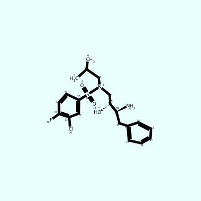 CC(C)CN(C[C@@H](O)[C@@H](N)Cc1ccccc1)S(=O)(=O)c1ccc(F)c(Cl)c1